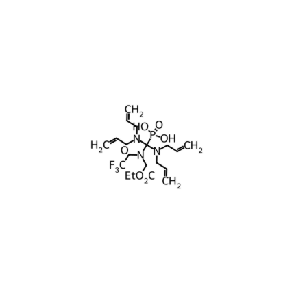 C=CCN(CC=C)C(N(CC=C)CC=C)(N(CC(=O)OCC)C(=O)C(F)(F)F)P(=O)(O)O